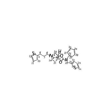 O=C(O[C@H]1C[N+]2(CCCc3cccs3)CCC1CC2)N(Cc1cccs1)c1ccccc1